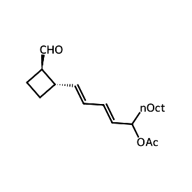 CCCCCCCCC(C=CC=C[C@@H]1CC[C@H]1C=O)OC(C)=O